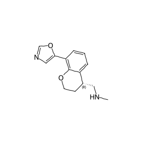 CNC[C@@H]1CCOc2c(-c3cnco3)cccc21